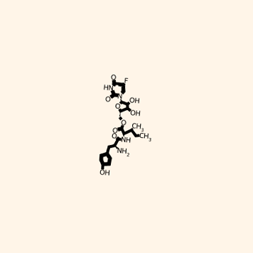 CC[C@H](C)[C@H](NC(=O)[C@@H](N)Cc1ccc(O)cc1)C(=O)OC[C@@H]1O[C@H](n2cc(F)c(=O)[nH]c2=O)C(O)C1O